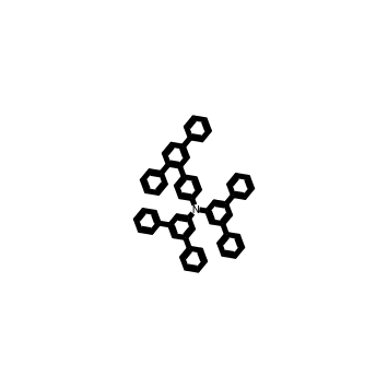 c1ccc(-c2cc(-c3ccccc3)cc(N(c3ccc(-c4cc(-c5ccccc5)ccc4-c4ccccc4)cc3)c3cc(-c4ccccc4)cc(-c4ccccc4)c3)c2)cc1